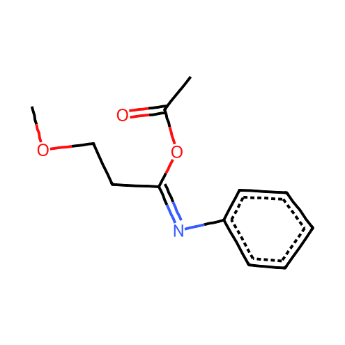 COCCC(=Nc1ccccc1)OC(C)=O